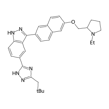 CCN1CCCC1COc1ccc2cc(-c3n[nH]c4ccc(-c5nc(CC(C)(C)C)n[nH]5)cc34)ccc2c1